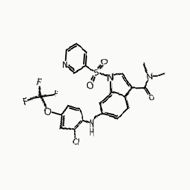 CN(C)C(=O)C1=CN(S(=O)(=O)c2cccnc2)C2=CC(Nc3ccc(OC(F)(F)F)cc3Cl)=CCC12